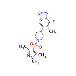 Cc1nn(C)c(C)c1S(=O)(=O)N1CCC(c2cn3ncnc3c(F)c2C)CC1